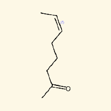 C/C=C\CCCC(C)=O